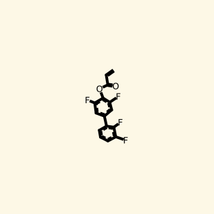 C=CC(=O)Oc1c(F)cc(-c2cccc(F)c2F)cc1F